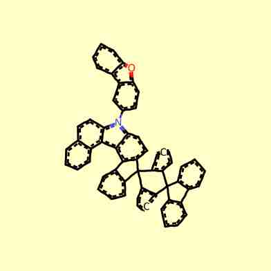 c1ccc2c(c1)-c1ccccc1C21c2ccccc2C2(c3ccccc3-c3c2ccc2c3c3c4ccccc4ccc3n2-c2ccc3oc4ccccc4c3c2)c2ccccc21